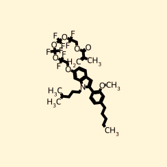 C=C(C)C(=O)OCC(F)(F)OC(F)(F)OC(F)(F)OC(F)(F)COc1ccc2cc(-c3ccc(CCCCC)cc3OC)n(CCCC(C)C)c2c1